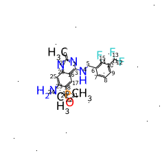 Cc1nc(NCc2cccc(C(F)F)c2F)c2cc(P(C)(C)=O)c(N)cc2n1